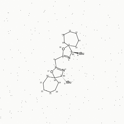 CC(C)(C)[C@H]1N=C(CC2=N[C@H](C(C)(C)C)C3(CCCCCC3)O2)OC12CCCCCC2